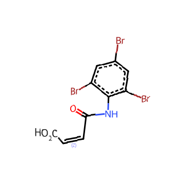 O=C(O)/C=C\C(=O)Nc1c(Br)cc(Br)cc1Br